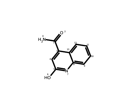 NC(=O)c1cc(O)nc2ccccc12